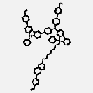 C=Cc1ccc(C2=Cc3ccc(OCCCCCCCC4(c5ccccc5)c5ccccc5-c5ccc(N(C6=CCC(C7=CCC(C(C)(C)C)C=C7)C=C6)c6ccc(C7=CC8c9cc(C%10=CCC(C=C)C=C%10)ccc9N(c9ccccc9)C8CC7)cc6)cc54)cc3CC2)cc1